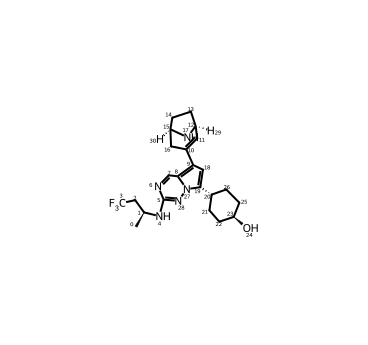 C[C@@H](CC(F)(F)F)Nc1ncc2c(C3=C[C@@H]4CC[C@H](C3)N4)cc([C@H]3CC[C@H](O)CC3)n2n1